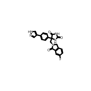 O=C1NC(=O)C(CN2Cc3ccc(F)cc3C2=O)(c2ccc(-c3cn[nH]c3)cc2)N1